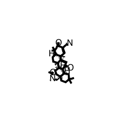 CC(=O)N(C)C[C@]12CCC(C)(C)C[C@H]1[C@H]1C(=O)C=C3[C@@]4(C)C=C(C#N)C(=O)C(C)(C)[C@@H]4CC[C@@]3(C)[C@]1(C)CC2